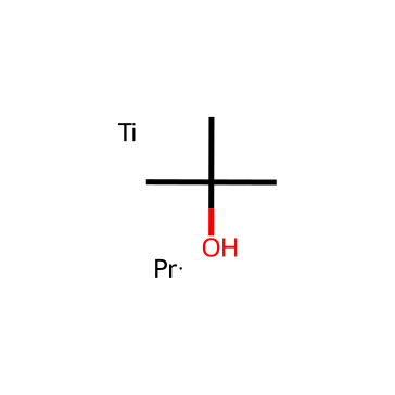 CC(C)(C)O.[Pr].[Ti]